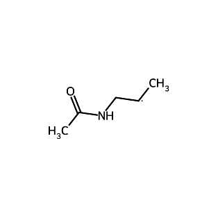 C[CH]CNC(C)=O